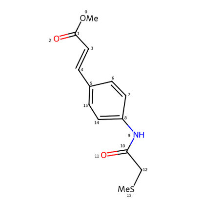 COC(=O)C=Cc1ccc(NC(=O)CSC)cc1